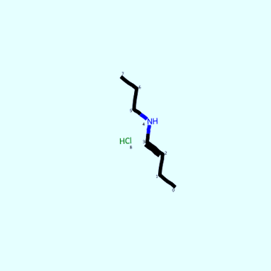 CCC=CNCCC.Cl